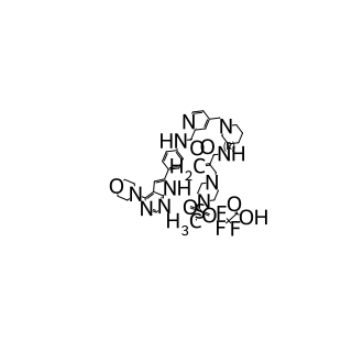 C=C(CN1CCN(S(C)(=O)=O)CC1)C(=O)N[C@@H]1CCCN(Cc2ccnc(C(=O)Nc3ccc(-c4cc5c(N6CCOCC6)ncnc5[nH]4)cc3)c2)C1.O=C(O)C(F)(F)F